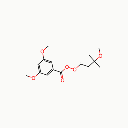 COc1cc(OC)cc(C(=O)OO[CH]CC(C)(C)OC)c1